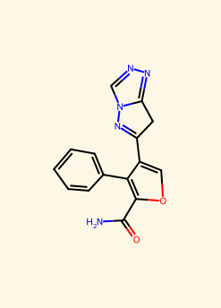 NC(=O)c1occ(C2=Nn3cnnc3C2)c1-c1ccccc1